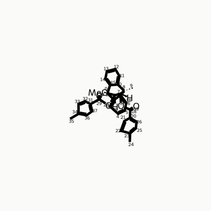 CO[C@]12c3ccccc3[C@](C)(c3ccccc31)[C@H](OC(=O)c1ccc(C)cc1)[C@@H]2OC(=O)c1ccc(C)cc1